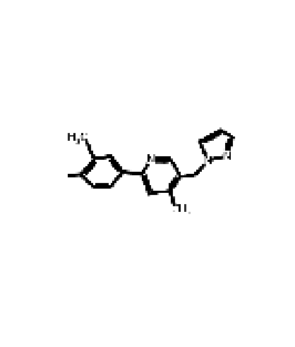 Cc1cc(-c2cc(C)c(Cn3cccn3)cn2)ccc1F